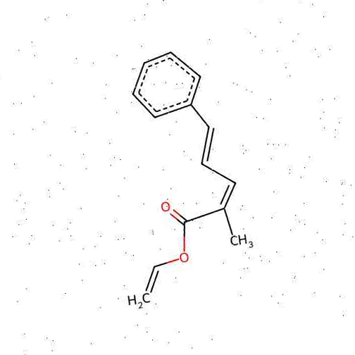 C=COC(=O)C(C)=CC=Cc1ccccc1